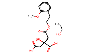 CCO.COc1ccccc1CCOC(=O)CC(O)(CC(=O)O)C(=O)O